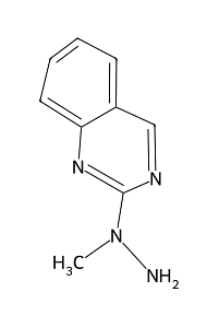 CN(N)c1ncc2ccccc2n1